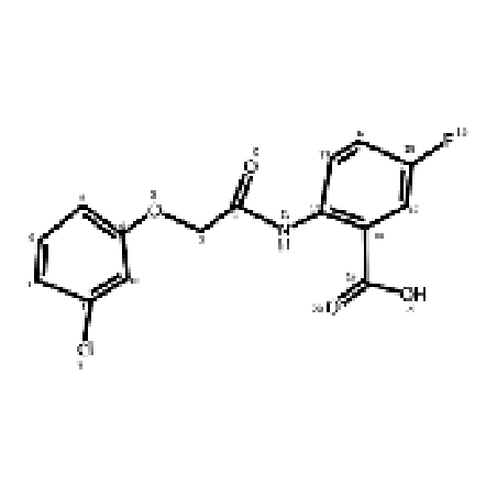 O=C(COc1cccc(Cl)c1)Nc1ccc(F)cc1C(=O)O